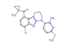 COc1ccc(N2CCCn3c2nc2c(Cl)ccc(C(=O)C4(C)CC4)c23)c(C)n1